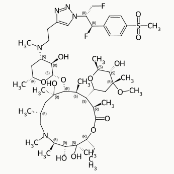 CC[C@H]1OC(=O)[C@H](C)[C@@H](C2C[C@@](C)(OC)[C@@H](O)[C@H](C)O2)[C@H](C)[C@@H](O[C@@H]2O[C@H](C)C[C@H](N(C)CCc3cn([C@H](CF)[C@H](F)c4ccc(S(C)(=O)=O)cc4)nn3)[C@H]2O)[C@](C)(O)C[C@@H](C)CN(C)[C@H](C)[C@@H](O)[C@]1(C)O